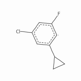 Fc1[c]c(C2CC2)cc(Cl)c1